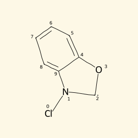 ClN1[CH]Oc2ccccc21